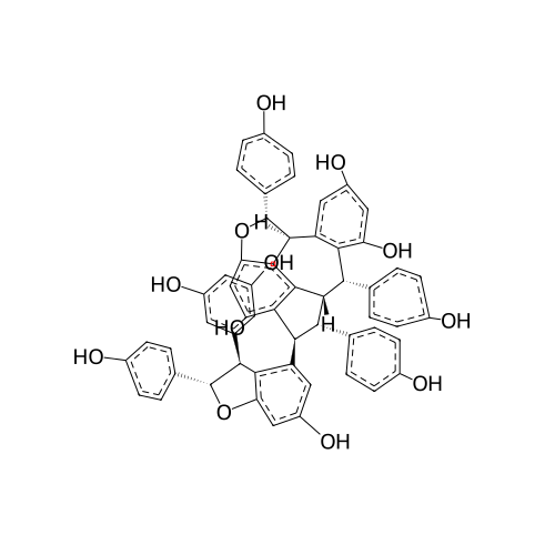 Oc1ccc([C@H]2c3c(O)cc(O)cc3[C@H]3c4c(cc(O)c5c4[C@H]2[C@H](c2ccc(O)cc2)[C@H]5c2cc(O)cc4c2[C@H](c2cc(O)cc(O)c2)[C@@H](c2ccc(O)cc2)O4)O[C@@H]3c2ccc(O)cc2)cc1